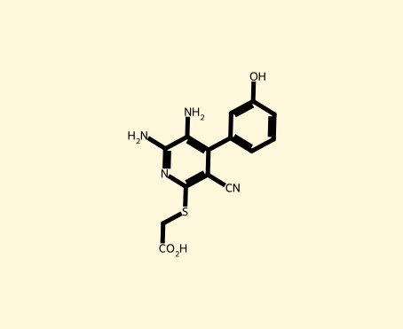 N#Cc1c(SCC(=O)O)nc(N)c(N)c1-c1cccc(O)c1